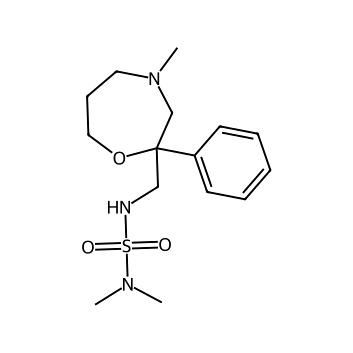 CN1CCCOC(CNS(=O)(=O)N(C)C)(c2ccccc2)C1